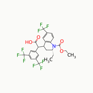 CCOC(=O)N1c2ccc(C(F)(F)F)cc2C(C(C(=O)O)c2cc(C(F)(F)F)cc(C(F)(F)F)c2)C[C@H]1CC